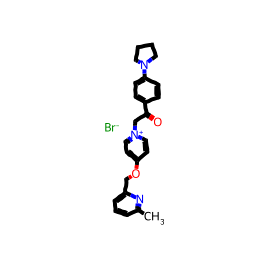 Cc1cccc(COc2cc[n+](CC(=O)c3ccc(N4CCCC4)cc3)cc2)n1.[Br-]